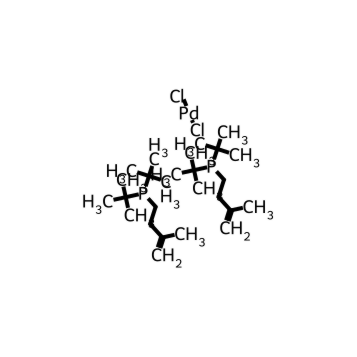 C=C(C)CCP(C(C)(C)C)C(C)(C)C.C=C(C)CCP(C(C)(C)C)C(C)(C)C.[Cl][Pd][Cl]